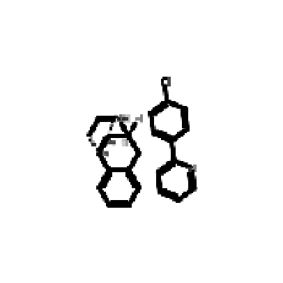 Clc1ccc(-c2ccccn2)cc1.c1ccc2c(c1)C[C@H]1NCC[C@@]23CCCC[C@@H]13